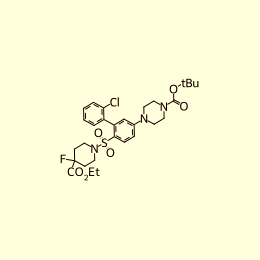 CCOC(=O)C1(F)CCN(S(=O)(=O)c2ccc(N3CCN(C(=O)OC(C)(C)C)CC3)cc2-c2ccccc2Cl)CC1